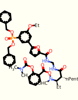 CCCCC[C@@H](C(=O)NCNC(=O)c1ccc(-c2cc(OCC)cc(P(=O)(OCc3ccccc3)OCc3ccccc3)c2)o1)[C@@H](CC)N(C=O)OC(=O)c1ccccc1OC(=O)N(C)C